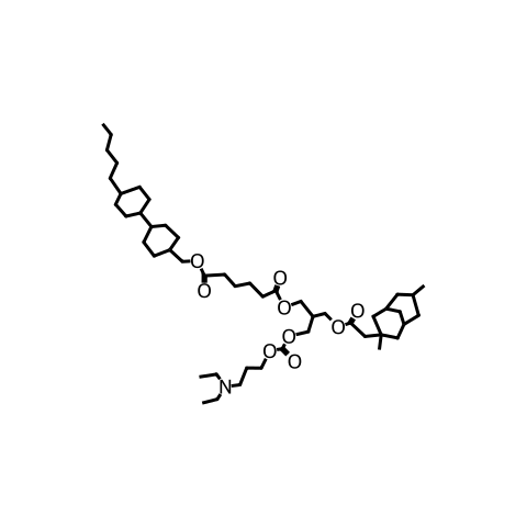 CCCCCC1CCC(C2CCC(COC(=O)CCCCC(=O)OCC(COC(=O)CC3(C)CC4CC(C)CC(C4)C3)COC(=O)OCCCN(CC)CC)CC2)CC1